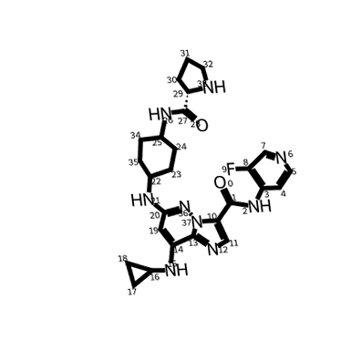 O=C(Nc1ccncc1F)c1cnc2c(NC3CC3)cc(NC3CCC(NC(=O)[C@@H]4CCCN4)CC3)nn12